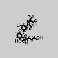 O=c1[nH]c(=O)n(-c2cc(Cl)c(Oc3ccc(O)c(S(=O)(=O)NCCCCO)c3)c(Cl)c2)nc1C(F)F